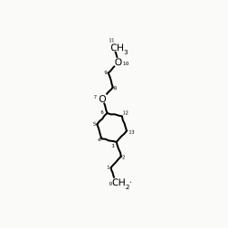 [CH2]CCC1CCC(OCCOC)CC1